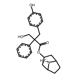 CN1C2CCC1CC(OC(=O)C(CO)(Cc1ccc(O)cc1)c1ccccc1)C2